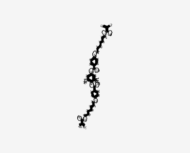 C=C(C)C(=O)OCCCCCCCOc1ccc(C(=O)Oc2cc(F)c(OC(=O)c3ccc(OCCCCCCCOC(=O)C(=C)C)cc3)c(F)c2)cc1